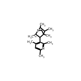 Cc1cc(C)c(C2[C@@H](C)N3CC2(C)C(C)C3C)c(C)n1